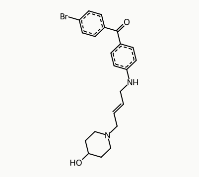 O=C(c1ccc(Br)cc1)c1ccc(NC/C=C/CN2CCC(O)CC2)cc1